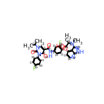 CC(C)n1cc(C(=O)Nc2ccc(Oc3ccnc4[nH]nc(N(C)[C@@H](C)CO)c34)c(F)c2)c(=O)n(-c2ccc(F)cc2)c1=O